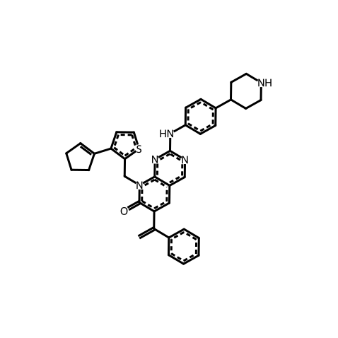 C=C(c1ccccc1)c1cc2cnc(Nc3ccc(C4CCNCC4)cc3)nc2n(Cc2sccc2C2=CCCC2)c1=O